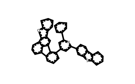 c1ccc(-c2cc(-c3cccc4c3-c3cc5c6ccccc6oc5c5cccc-4c35)cc(-c3ccc4c(c3)sc3ccccc34)n2)cc1